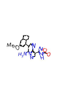 COc1cc(-c2cnc3c(-c4noc(=O)[nH]4)cnn3c2N)c2ccccc2c1